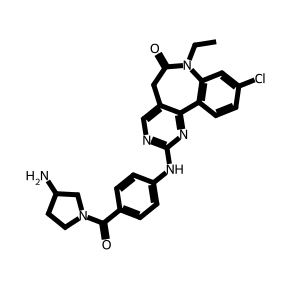 CCN1C(=O)Cc2cnc(Nc3ccc(C(=O)N4CCC(N)C4)cc3)nc2-c2ccc(Cl)cc21